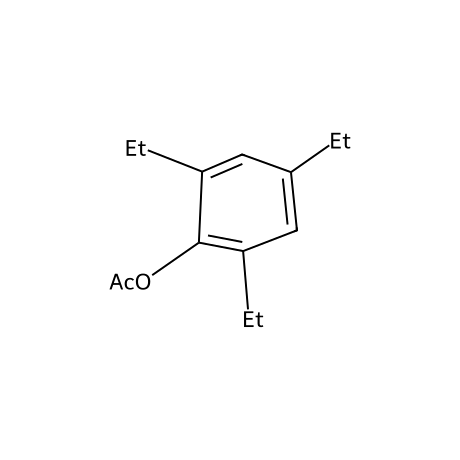 CCc1cc(CC)c(OC(C)=O)c(CC)c1